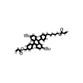 C=CC(=O)OCCCCCc1ccc(-c2c3ccc(C(C)(C)C)cc3c(-c3ccc(COC(=O)C=C)cc3)c3ccc(C(C)(C)C)cc23)cc1